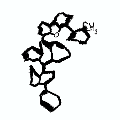 Cc1ccccc1-c1cccc2c1oc1c(-c3c4ccccc4c(-c4ccc(-c5ccccc5)c5ccccc45)c4ccccc34)cccc12